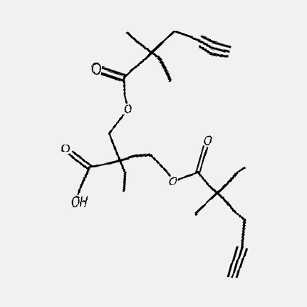 C#CCC(C)(C)C(=O)OCC(C)(COC(=O)C(C)(C)CC#C)C(=O)O